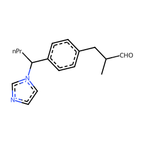 CCCC(c1ccc(CC(C)C=O)cc1)n1ccnc1